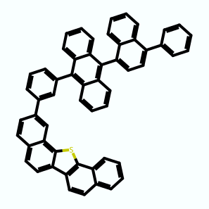 c1ccc(-c2ccc(-c3c4ccccc4c(-c4cccc(-c5ccc6ccc7c8ccc9ccccc9c8sc7c6c5)c4)c4ccccc34)c3ccccc23)cc1